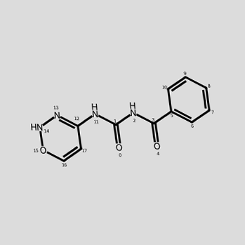 O=C(NC(=O)c1ccccc1)NC1=NNOC=C1